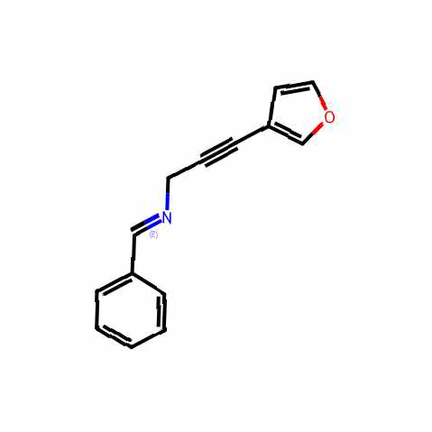 C(#Cc1ccoc1)C/N=C/c1ccccc1